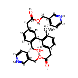 COc1ccc(CC(=O)OCc2cccnc2)cc1-c1cc(CC(=O)OCc2cccnc2)ccc1CO